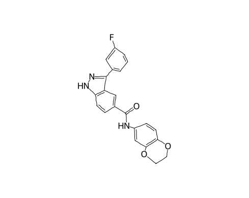 O=C(Nc1ccc2c(c1)OCCO2)c1ccc2[nH]nc(-c3cccc(F)c3)c2c1